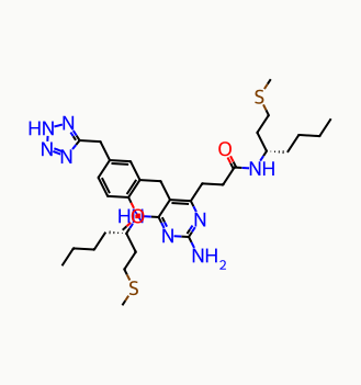 CCCC[C@@H](CCSC)NC(=O)CCc1nc(N)nc(N[C@@H](CCCC)CCSC)c1Cc1cc(Cc2nn[nH]n2)ccc1OC